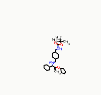 C=C(OC1CCCC1)[C@@H](NCC1CCC(CNC(=O)OC(C)(C)C)CC1)C1CCCCC1